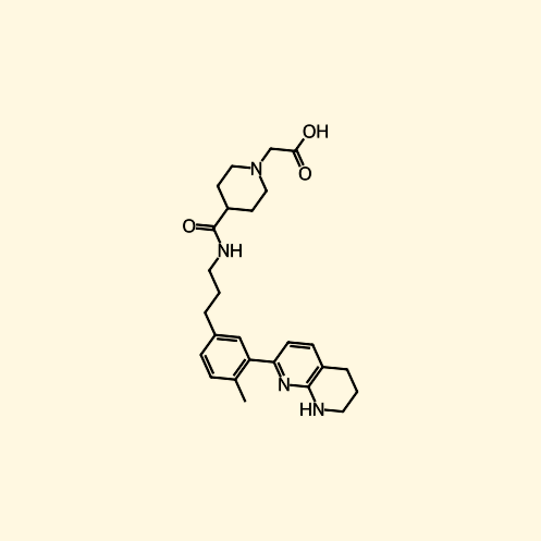 Cc1ccc(CCCNC(=O)C2CCN(CC(=O)O)CC2)cc1-c1ccc2c(n1)NCCC2